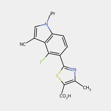 Cc1nc(-c2ccc3c(c(C#N)cn3C(C)C)c2F)sc1C(=O)O